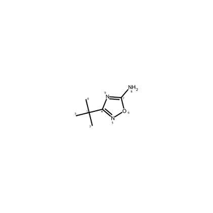 CC(C)(C)c1noc(N)n1